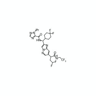 CC(C)n1ncnc1C(=O)N[C@H](c1cn2ncc(C(CC(F)F)C(=O)NCC(F)(F)F)cc2n1)C1CCC(F)(F)CC1